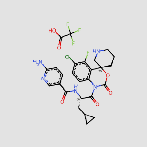 Nc1ccc(C(=O)N[C@@H](CC2CC2)C(=O)N2C(=O)O[C@]3(CCCNC3)c3c2ccc(Cl)c3F)cn1.O=C(O)C(F)(F)F